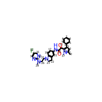 Cc1cc(-c2ccccc2)c(C(=O)C(=O)Nc2ccc3c(c2)CCN3CCN(C)c2ncc(F)cn2)n1C